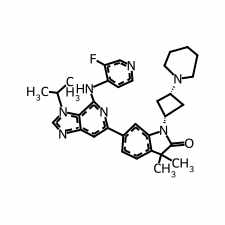 CC(C)n1cnc2cc(-c3ccc4c(c3)N([C@H]3C[C@@H](N5CCCCC5)C3)C(=O)C4(C)C)nc(Nc3ccncc3F)c21